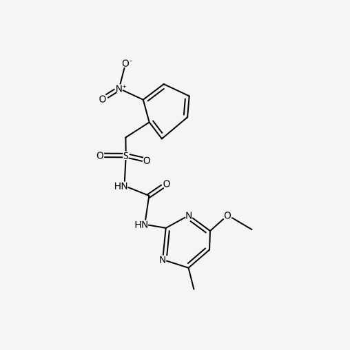 COc1cc(C)nc(NC(=O)NS(=O)(=O)Cc2ccccc2[N+](=O)[O-])n1